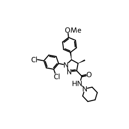 COc1ccc([C@H]2[C@@H](C)C(C(=O)NN3CCCCC3)=NN2c2ccc(Cl)cc2Cl)cc1